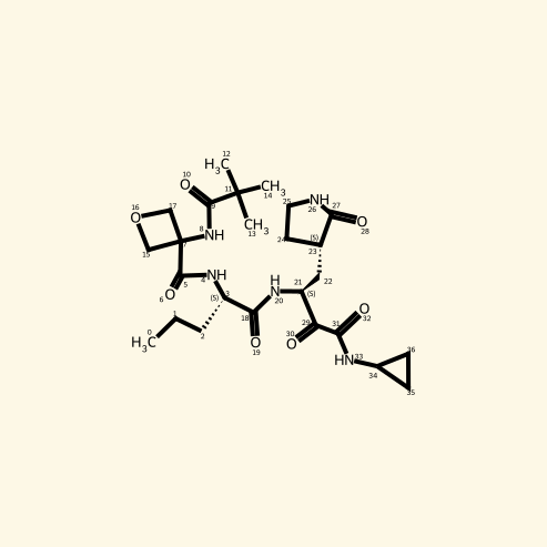 CCC[C@H](NC(=O)C1(NC(=O)C(C)(C)C)COC1)C(=O)N[C@@H](C[C@@H]1CCNC1=O)C(=O)C(=O)NC1CC1